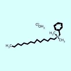 CCCCCCCCCCCCCC[N+](C)(C)Cc1ccccc1.O.[Cl-]